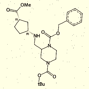 COC(=O)[C@H]1CC[C@@H](NCC2CN(C(=O)OC(C)(C)C)CCN2C(=O)OCc2ccccc2)C1